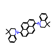 CC1(C)CCN(c2ccc3ccc4c(N5CCC(C)(C)c6ccccc65)ccc5ccc2c3c54)c2ccccc21